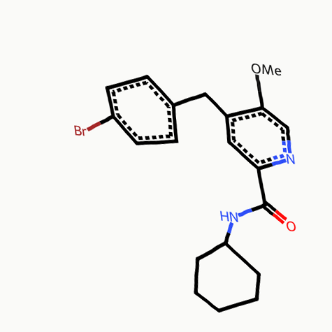 COc1cnc(C(=O)NC2CCCCC2)cc1Cc1ccc(Br)cc1